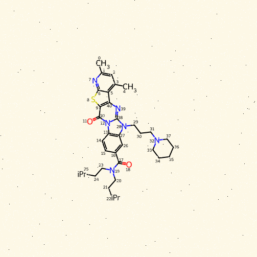 Cc1cc(C)c2c(n1)sc1c(=O)n3c4ccc(C(=O)N(CCC(C)C)CCC(C)C)cc4n(CCCN4CCCCC4)c3nc12